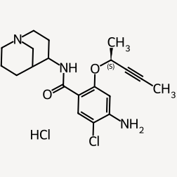 CC#C[C@H](C)Oc1cc(N)c(Cl)cc1C(=O)NC1CCN2CCCC1C2.Cl